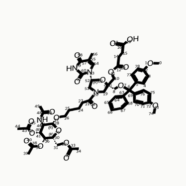 COc1ccc(C(OC[C@]2(COC(=O)CCC(=O)O)CN(C(=O)CCCCO[C@@H]3O[C@H](COC(C)=O)[C@H](OC(C)=O)[C@H](OC(C)=O)[C@H]3NC(C)=O)C[C@H](n3cc(C)c(=O)[nH]c3=O)O2)(c2ccccc2)c2ccc(OC)cc2)cc1